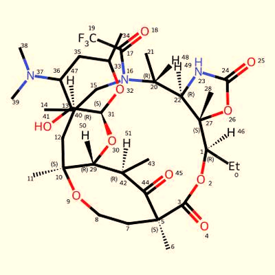 CC[C@H]1OC(=O)[C@@]2(C)CCO[C@@](C)(C[C@@H](C)CN(C(=O)C(F)(F)F)[C@H](C)[C@H]3NC(=O)O[C@@]31C)[C@H](O[C@@H]1OC(C)CC(N(C)C)C1O)[C@@H](C)C2=O